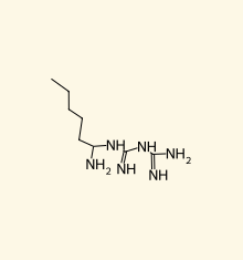 CCCCCC(N)NC(=N)NC(=N)N